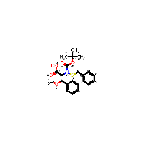 COC(c1ccccc1)[C@@H](C(=O)O)N(SCc1ccccc1)C(=O)OC(C)(C)C